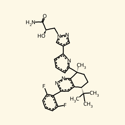 CC(C)(C)[C@H]1CC[C@](C)(c2cccc(-c3cnn(C[C@@H](O)C(N)=O)c3)n2)c2nnc(-c3c(F)cccc3F)cc21